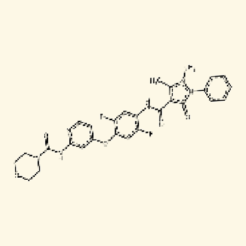 Cc1c(C(=O)Nc2cc(F)c(Oc3ccnc(NC(=O)N4CCOCC4)c3)cc2F)c(=O)n(-c2ccccc2)n1C